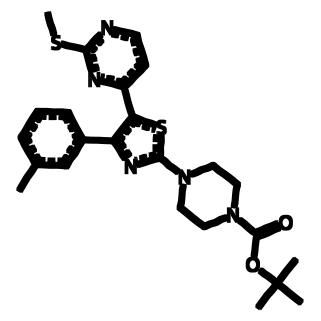 CSc1nccc(-c2sc(N3CCN(C(=O)OC(C)(C)C)CC3)nc2-c2cccc(C)c2)n1